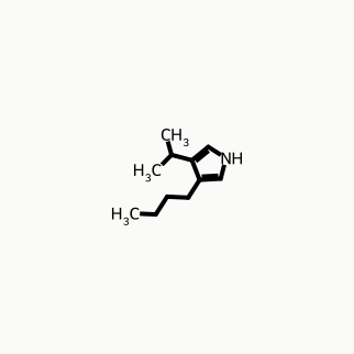 CCCCc1c[nH]cc1C(C)C